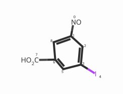 O=Nc1cc(I)cc(C(=O)O)c1